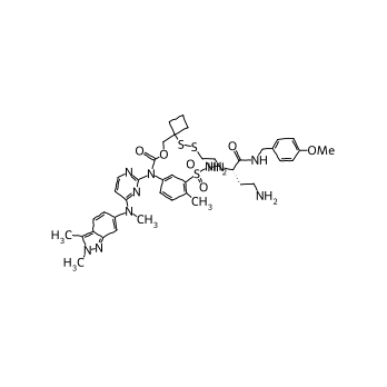 COc1ccc(CNC(=O)[C@H](CCN)NCCSSC2(COC(=O)N(c3ccc(C)c(S(N)(=O)=O)c3)c3nccc(N(C)c4ccc5c(C)n(C)nc5c4)n3)CCC2)cc1